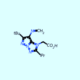 C=Nc1c(C(C)(C)C)nn2nc(C(C)C)n(CC(=O)O)c12